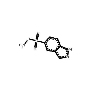 NOS(=O)(=O)c1ccc2[nH]ncc2c1